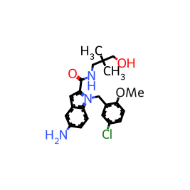 COc1ccc(Cl)cc1Cn1c(C(=O)NCC(C)(C)CO)cc2cc(N)ccc21